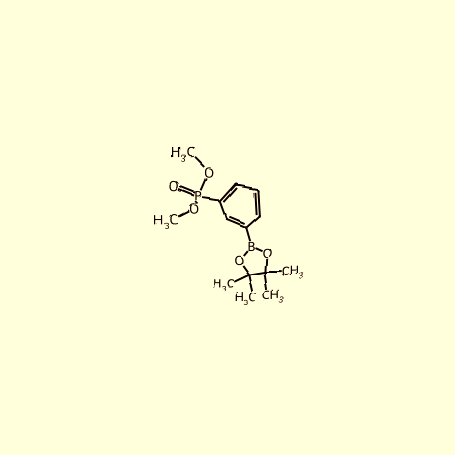 COP(=O)(OC)c1cccc(B2OC(C)(C)C(C)(C)O2)c1